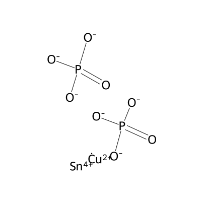 O=P([O-])([O-])[O-].O=P([O-])([O-])[O-].[Cu+2].[Sn+4]